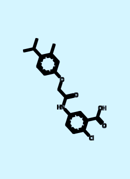 Cc1cc(OCC(=O)Nc2ccc(Cl)c(C(=O)O)c2)ccc1C(C)C